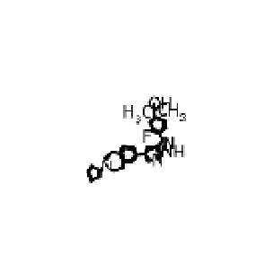 CC(C)(O)c1ccc(-c2n[nH]c3ncc(-c4ccc5c(c4)CCN(C4CCCC4)CC5)cc23)c(F)c1